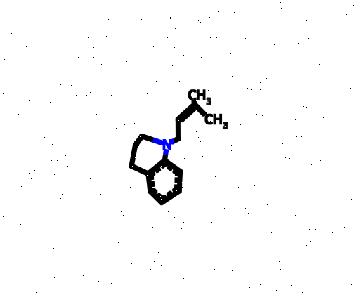 CC(C)=CCN1CCCc2ccccc21